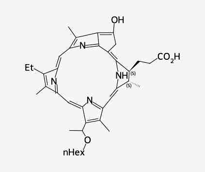 CCCCCCOC(C)C1=C(C)C2=NC1=CC1=NC(=CC3=C(C)C4=C(O)CC(=C5NC(=C2)[C@@H](C)[C@@H]5CCC(=O)O)C4=N3)C(CC)=C1C